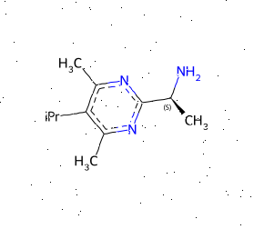 Cc1nc([C@H](C)N)nc(C)c1C(C)C